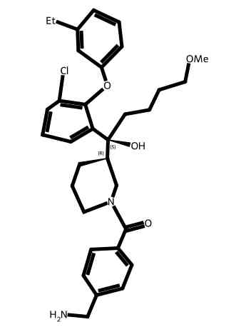 CCc1cccc(Oc2c(Cl)cccc2[C@](O)(CCCCOC)[C@@H]2CCCN(C(=O)c3ccc(CN)cc3)C2)c1